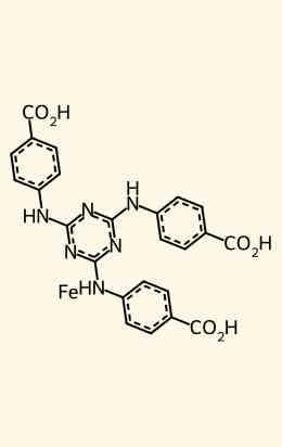 O=C(O)c1ccc(Nc2nc(Nc3ccc(C(=O)O)cc3)nc(Nc3ccc(C(=O)O)cc3)n2)cc1.[Fe]